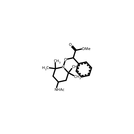 COC(=O)C(ON1C(C)(C)CC(NC(C)=O)CC1(C)C)c1ccccc1